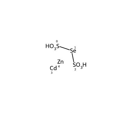 O=S(=O)(O)[Se]S(=O)(=O)O.[Cd].[Zn]